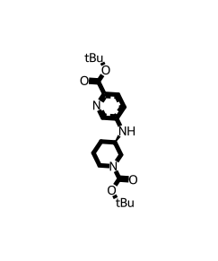 CC(C)(C)OC(=O)c1ccc(N[C@@H]2CCCN(C(=O)OC(C)(C)C)C2)cn1